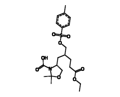 CCOC(=O)CCC(COS(=O)(=O)c1ccc(C)cc1)CC1COC(C)(C)N1C(=O)O